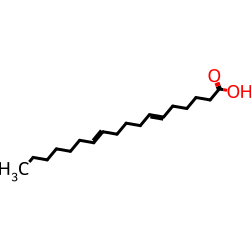 CCCCCCC=CCCCC=CCCCCC(=O)O